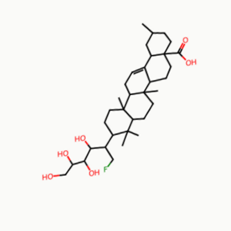 CC1CCC2(C(=O)O)CCC3C(=CCC4C3(C)CCC3C(C)(C)C(C(CF)C(O)C(O)C(O)CO)CCC34C)C2C1